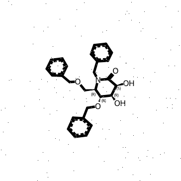 O=C1[C@@H](O)[C@@H](O)[C@H](OCc2ccccc2)[C@@H](COCc2ccccc2)N1Cc1ccccc1